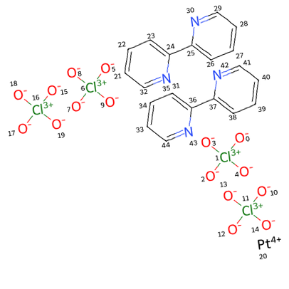 [O-][Cl+3]([O-])([O-])[O-].[O-][Cl+3]([O-])([O-])[O-].[O-][Cl+3]([O-])([O-])[O-].[O-][Cl+3]([O-])([O-])[O-].[Pt+4].c1ccc(-c2ccccn2)nc1.c1ccc(-c2ccccn2)nc1